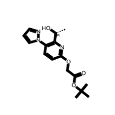 C[C@@H](O)c1nc(OCC(=O)OC(C)(C)C)ccc1-n1cccn1